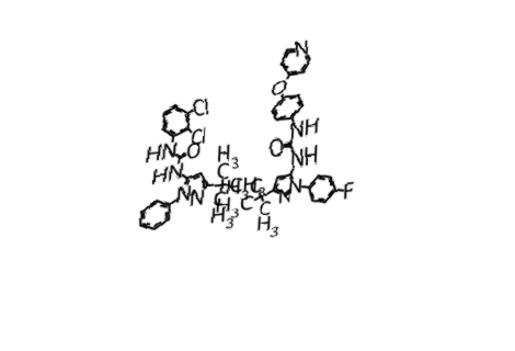 CC(C)(C)c1cc(NC(=O)Nc2ccc(Oc3ccncc3)cc2)n(-c2ccc(F)cc2)n1.CC(C)(C)c1cc(NC(=O)Nc2cccc(Cl)c2Cl)n(-c2ccccc2)n1